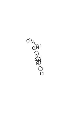 O=C(C1CCN(c2nn3cc(-c4ccc(Cl)cc4)nc3s2)CC1)N1CCCCC1CCN1CCOCC1